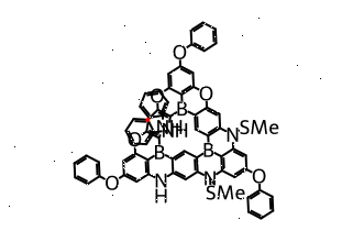 CSN1c2cc3c(cc2B2c4cc5c(cc4N(SC)c4cc(Oc6ccccc6)cc1c42)Oc1cc(Oc2ccccc2)cc2c1B5c1[nH]c4ccccc4c1O2)B1c2[nH]c4ccccc4c2Oc2cc(Oc4ccccc4)cc(c21)N3